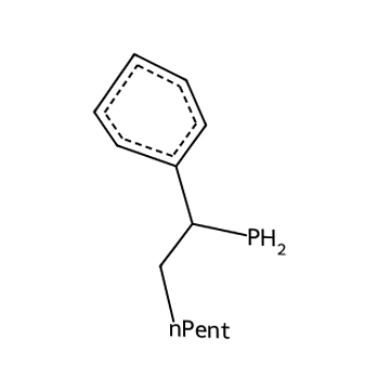 CCCCCCC(P)c1ccccc1